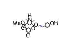 COC(=O)C1=C(C)NC(C)=C(C(=O)OC/C=C/c2ccc(O)cc2)C1c1ccc(Cl)cc1Cl